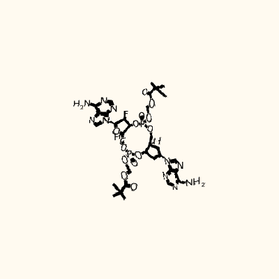 CC(C)(C)C(=O)OCOP1(=O)OC[C@H]2O[C@@H](n3cnc4c(N)ncnc43)C(F)C2OP(=O)(OCOC(=O)C(C)(C)C)OC[C@H]2C[C@@H](n3cnc4c(N)ncnc43)CC2O1